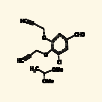 C#CCOc1cc(C=O)cc(Cl)c1OCC#C.COC(C)OC